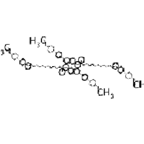 CCC[C@H]1CC[C@H](c2ccc(OCCCCCCCCCCCC(=O)Oc3ccc4cc(-c5ccc([C@H]6CC[C@H](CCC)CC6)cc5)ccc4c3-c3c(OC(=O)CCCCCCCCCCCOc4ccc([C@H]5CC[C@H](CCC)CC5)cc4)ccc4cc(-c5ccc([C@H]6CC[C@H](CCC)CC6)cc5)ccc34)cc2)CC1